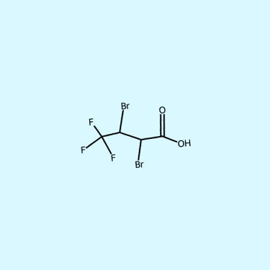 O=C(O)C(Br)C(Br)C(F)(F)F